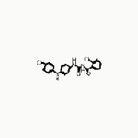 O=C(NC(=O)c1ccccc1Cl)Nc1ccc(Nc2ccc(Cl)cc2)cc1